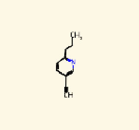 C#Cc1ccc(CCC)nc1